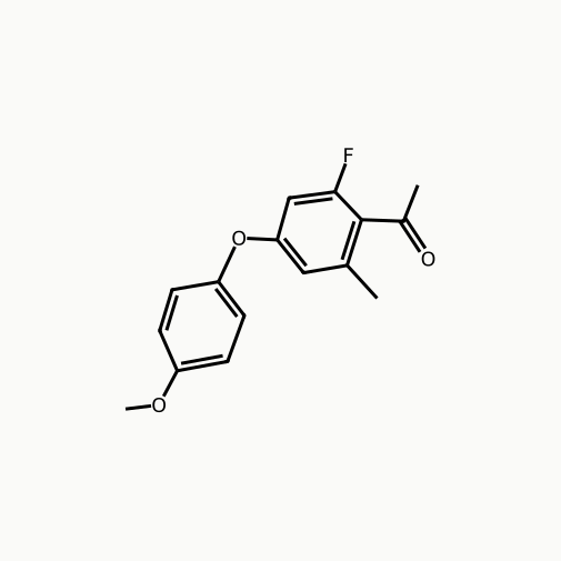 COc1ccc(Oc2cc(C)c(C(C)=O)c(F)c2)cc1